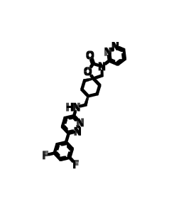 O=C1O[C@]2(CC[C@H](CNc3ccc(-c4cc(F)cc(F)c4)nn3)CC2)CN1c1cccnn1